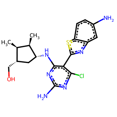 C[C@@H]1[C@@H](CO)C[C@@H](Nc2nc(N)nc(Cl)c2-c2nc3cc(N)ccc3s2)[C@@H]1C